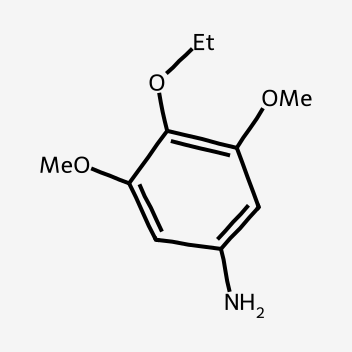 CCOc1c(OC)cc(N)cc1OC